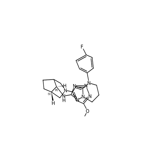 COc1cc(N2CC3CC[C@@H](C2)[C@@H]3Nc2nc3n(n2)CCCN3c2ccc(F)cc2)cnn1